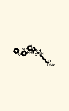 COC(=O)CCCCCNC(=O)Nc1cn2ncc(C#N)c(Nc3ccc(Oc4ccccc4)cc3)c2c1C